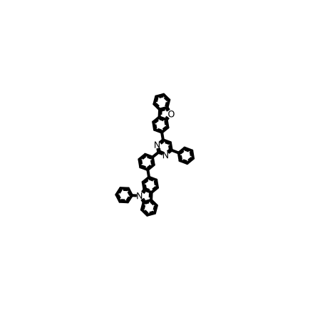 c1ccc(-c2cc(-c3ccc4c(c3)oc3ccccc34)nc(-c3cccc(-c4ccc5c6ccccc6n(-c6ccccc6)c5c4)c3)n2)cc1